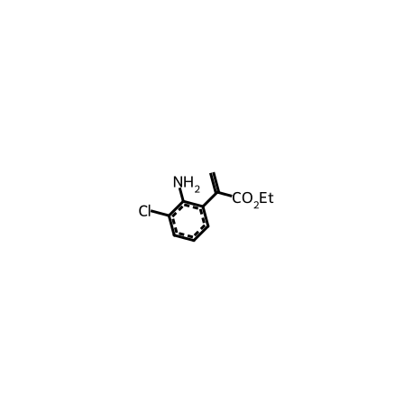 C=C(C(=O)OCC)c1cccc(Cl)c1N